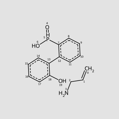 C=CCN.O=[PH](O)c1ccccc1-c1ccccc1O